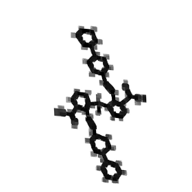 CC(C)(c1cccc(C(=O)O)c1C#Cc1ccc(-c2ccccc2)cc1)c1cccc(C(=O)O)c1C#Cc1ccc(-c2ccccc2)cc1